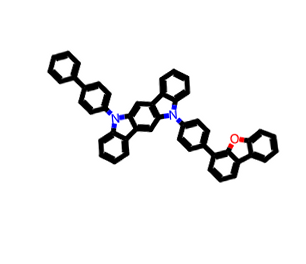 c1ccc(-c2ccc(-n3c4ccccc4c4cc5c(cc43)c3ccccc3n5-c3ccc(-c4cccc5c4oc4ccccc45)cc3)cc2)cc1